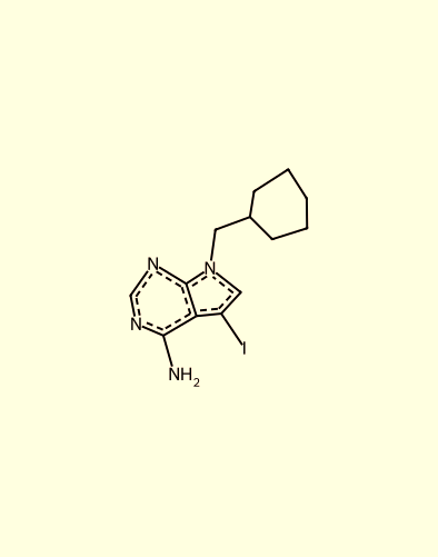 Nc1ncnc2c1c(I)cn2CC1CCCCC1